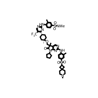 CNS(=O)(=O)c1ccc(Nc2ncc(C(F)(F)F)c([C@H]3CC[C@](C)(OCC4(C)C(=O)N(C5CCCC5)c5nc(Nc6ccc(S(=O)(=O)C7CC8(CCN(C)CC8)C7)cc6C)ncc54)CC3)n2)c(C)c1